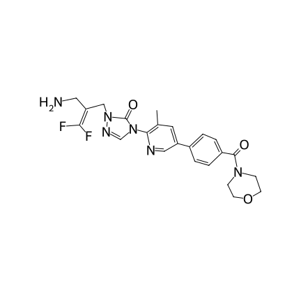 Cc1cc(-c2ccc(C(=O)N3CCOCC3)cc2)cnc1-n1cnn(CC(CN)=C(F)F)c1=O